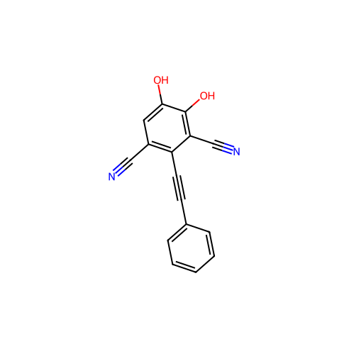 N#Cc1cc(O)c(O)c(C#N)c1C#Cc1ccccc1